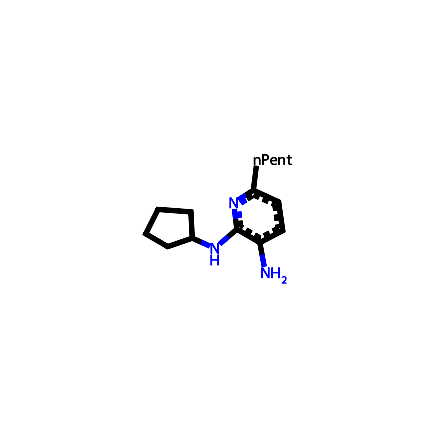 CCCCCc1ccc(N)c(NC2CCCC2)n1